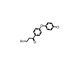 CC(=O)CCC(=O)c1ccc(Oc2ccc(Cl)cc2)cc1